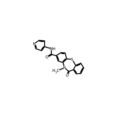 CN1C(=O)c2ccccc2Sc2ccc(C(=O)Nc3ccncc3)cc21